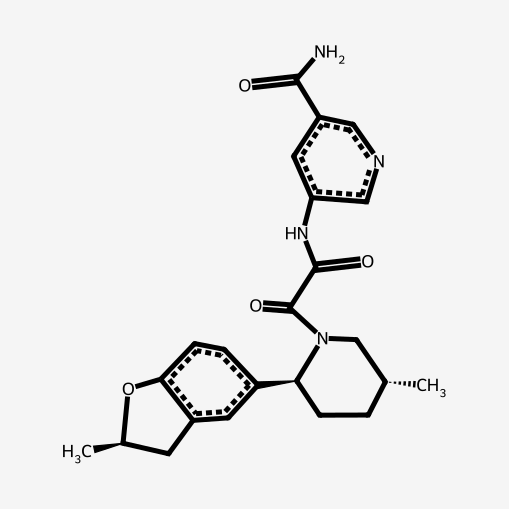 C[C@@H]1CC[C@@H](c2ccc3c(c2)C[C@@H](C)O3)N(C(=O)C(=O)Nc2cncc(C(N)=O)c2)C1